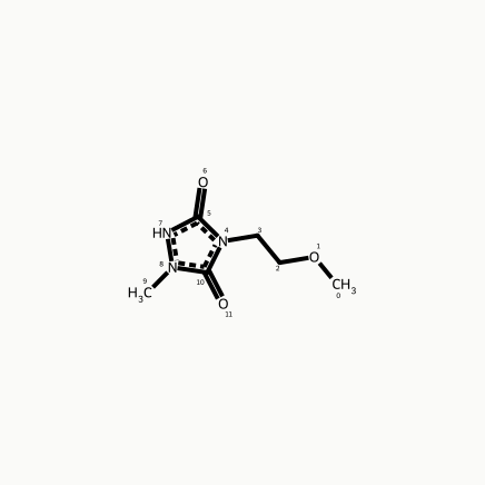 COCCn1c(=O)[nH]n(C)c1=O